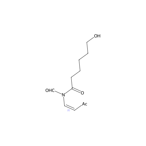 CC(=O)/C=C\N(C=O)C(=O)CCCCCO